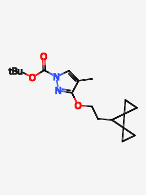 Cc1cn(C(=O)OC(C)(C)C)nc1OCCC1C2(CC2)C12CC2